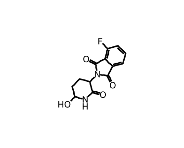 O=C1NC(O)CCC1N1C(=O)c2cccc(F)c2C1=O